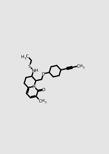 CC#CC1CCC(OCC2C(NSCC)CCc3ccc(C)c(=O)n32)CC1